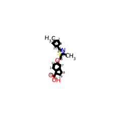 Cc1ccc(-c2nc(C)c(COc3ccc4c(c3)CCC4C(=O)O)s2)cc1